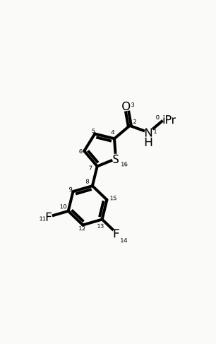 CC(C)NC(=O)c1ccc(-c2cc(F)cc(F)c2)s1